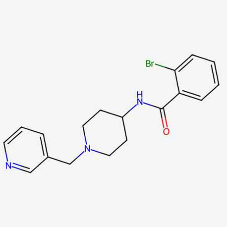 O=C(NC1CCN(Cc2cccnc2)CC1)c1ccccc1Br